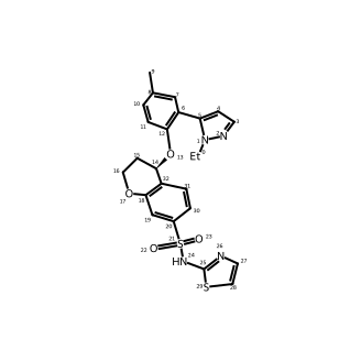 CCn1nccc1-c1cc(C)ccc1O[C@@H]1CCOc2cc(S(=O)(=O)Nc3nccs3)ccc21